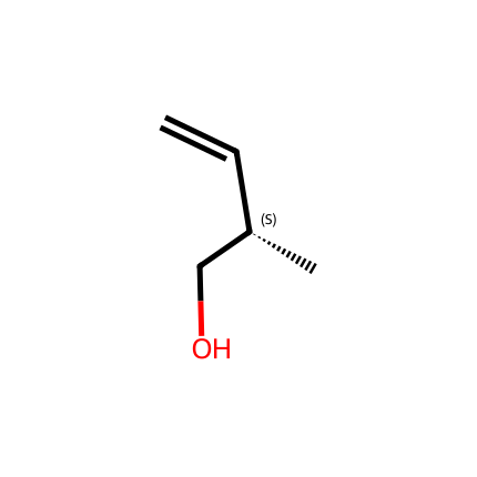 C=C[C@H](C)CO